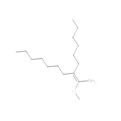 CCCCCCC/C(CCCCCC)=C(/N)OC